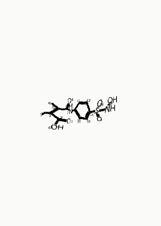 CC(C(=O)O)C(C)C(=O)Nc1ccc(S(=O)(=O)NO)cc1